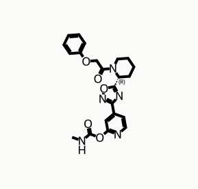 CNC(=O)Oc1cc(-c2noc([C@H]3CCCCN3C(=O)COc3ccccc3)n2)ccn1